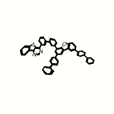 c1ccc(-c2ccc(-c3ccc4oc5c(-c6cccc(-c7cccc(-c8ncnc9c8sc8ccccc89)c7)c6)cc(-c6ccc(-c7ccccc7)cc6)cc5c4c3)cc2)cc1